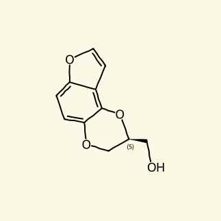 OC[C@H]1COc2ccc3occc3c2O1